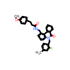 COc1ccc(CCC(=O)NCc2ccccc2-c2ccccc2C(=O)NCc2ccc(C)cc2F)cc1